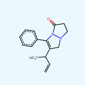 C=CC(C(=O)O)C1=C(c2ccccc2)N2C(=O)CCN2C1